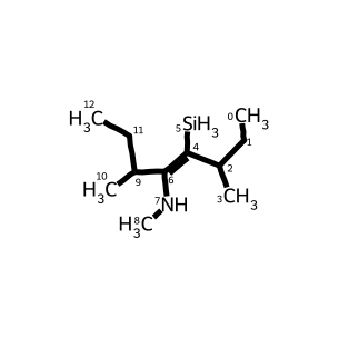 CCC(C)C([SiH3])=C(NC)C(C)CC